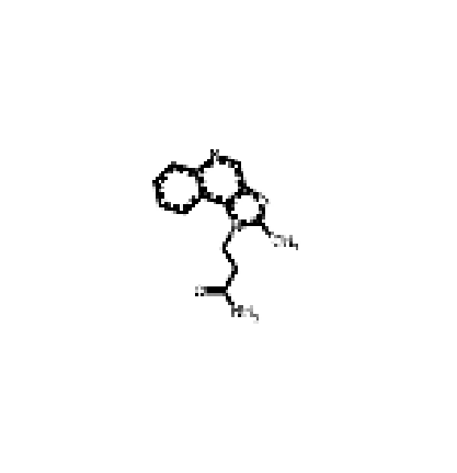 Cc1nc2cnc3ccccc3c2n1CCC(N)=O